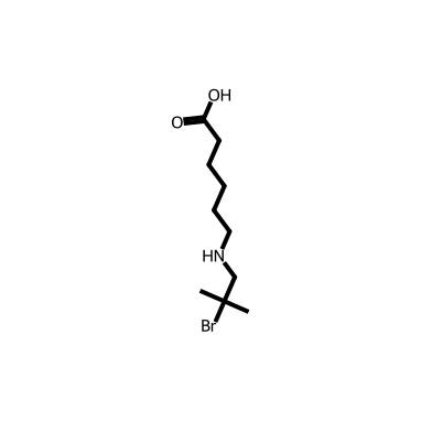 CC(C)(Br)CNCCCCCC(=O)O